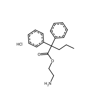 CCCC(C(=O)OCCN)(c1ccccc1)c1ccccc1.Cl